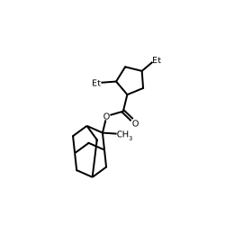 CCC1CC(CC)C(C(=O)OC2(C)C3CC4CC(C3)CC2C4)C1